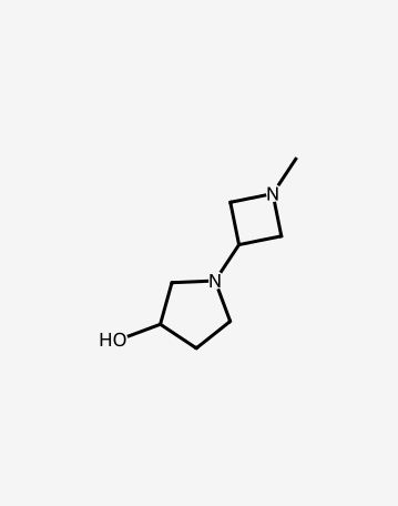 CN1CC(N2CCC(O)C2)C1